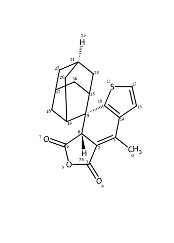 CC1=C2C(=O)OC(=O)[C@@H]2[C@]2(c3sccc31)C1CC3CC2C[C@@H](C3)C1